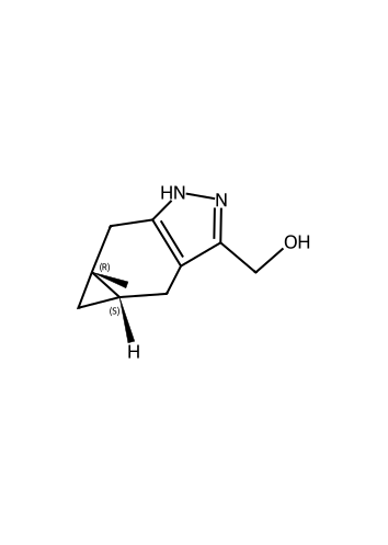 C[C@@]12Cc3[nH]nc(CO)c3C[C@@H]1C2